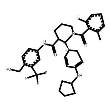 Cc1cccc(F)c1C(=O)N1CCCC(C(=O)Nc2ccc(CO)c(C(F)(F)F)c2)C1[C@@H]1C=CC(NC2CCCC2)=CC1